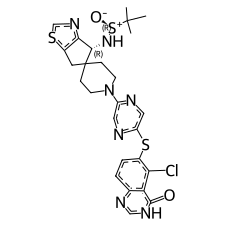 CC(C)(C)[S@+]([O-])N[C@H]1c2ncsc2CC12CCN(c1cnc(Sc3ccc4nc[nH]c(=O)c4c3Cl)cn1)CC2